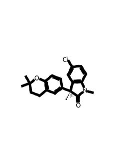 CN1C(=O)[C@@](C)(c2ccc3c(c2)CCC(C)(C)O3)c2cc(Cl)ccc21